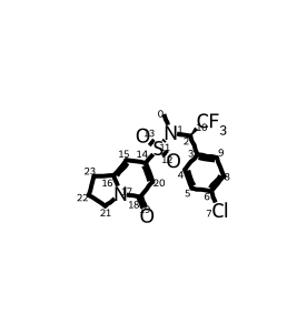 CN([C@H](c1ccc(Cl)cc1)C(F)(F)F)S(=O)(=O)c1cc2n(c(=O)c1)CCC2